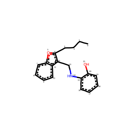 CCCCc1oc2ccccc2c1CNc1ccccc1O